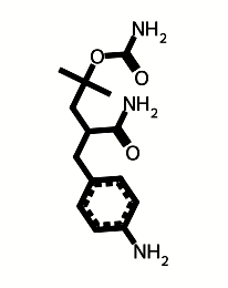 CC(C)(CC(Cc1ccc(N)cc1)C(N)=O)OC(N)=O